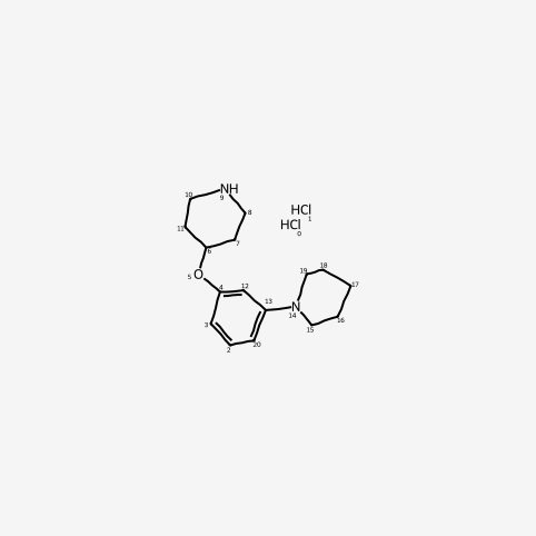 Cl.Cl.c1cc(OC2CCNCC2)cc(N2CCCCC2)c1